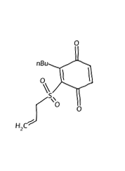 C=CCS(=O)(=O)C1=C(CCCC)C(=O)C=CC1=O